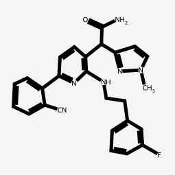 Cn1ccc(C(C(N)=O)c2ccc(-c3ccccc3C#N)nc2NCCc2cccc(F)c2)n1